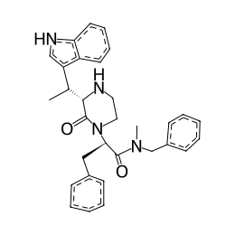 CC(c1c[nH]c2ccccc12)[C@@H]1NCCN([C@H](Cc2ccccc2)C(=O)N(C)Cc2ccccc2)C1=O